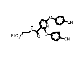 CCOC(=O)CCNC(=O)c1ccc(Oc2ccc(C#N)cc2)nc1Oc1ccc(C#N)cc1